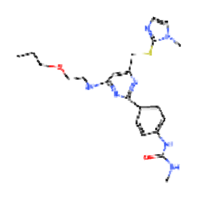 CCCOCCNc1cc(CSc2nccn2C)nc(-c2ccc(NC(=O)NC)cc2)n1